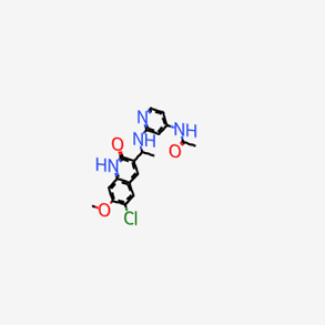 COc1cc2[nH]c(=O)c(C(C)Nc3cc(NC(C)=O)ccn3)cc2cc1Cl